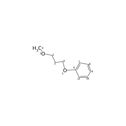 COCCCOc1c[c]ccc1